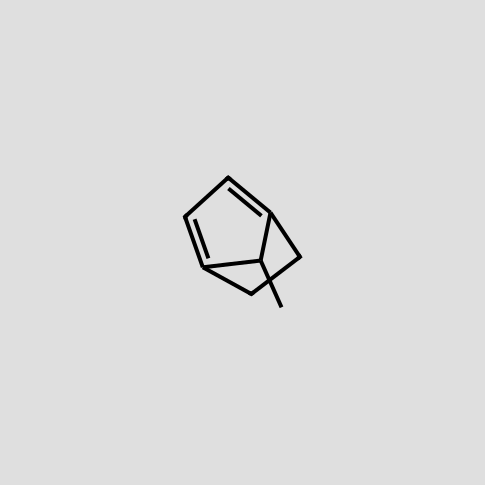 CC1C2=CC=C1CC2